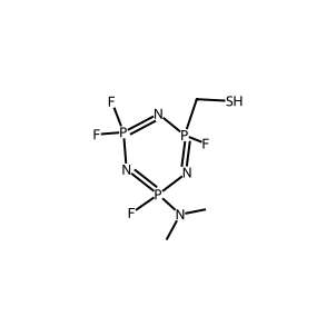 CN(C)P1(F)=NP(F)(F)=NP(F)(CS)=N1